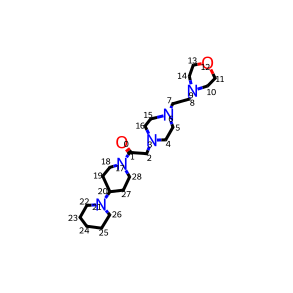 O=C(CN1CCN(CCN2CCOCC2)CC1)N1CCC(N2CCCCC2)CC1